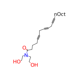 CCCCCCCCC#CCC#CCC#CCCCC(=O)N(CCO)CCO